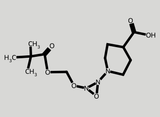 CC(C)(C)C(=O)OCOn1on1N1CCC(C(=O)O)CC1